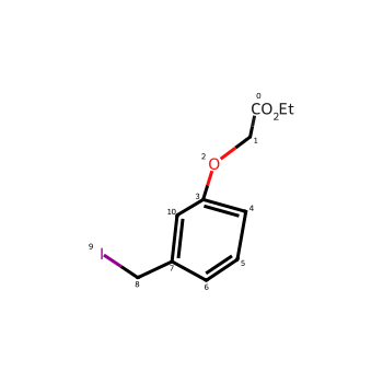 CCOC(=O)COc1cccc(CI)c1